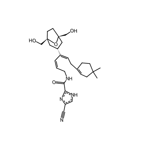 CC1(C)CC=C(C/C=C(\C=C/CNC(=O)c2nc(C#N)c[nH]2)[C@@H]2C[C@]3(CO)CC[C@](CO)(C2)O3)CC1